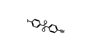 O=S(=O)(c1ccc(Br)cc1)c1ccc(I)cc1